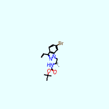 CCc1nn(C[C@H](C)NC(=O)OC(C)(C)C)c2cc(Br)ccc12